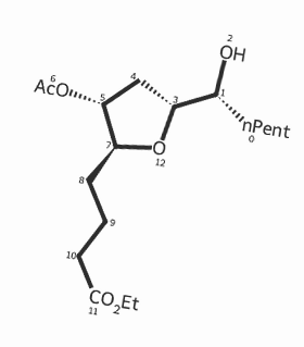 CCCCC[C@@H](O)[C@H]1C[C@@H](OC(C)=O)[C@H](CCCC(=O)OCC)O1